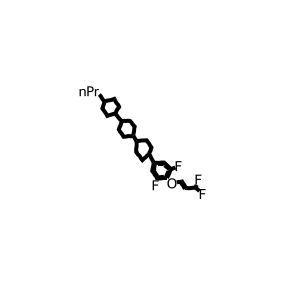 CCCC1CCC(C2CCC(C3CCC(c4cc(F)c(O/C=C/C(F)F)c(F)c4)CC3)CC2)CC1